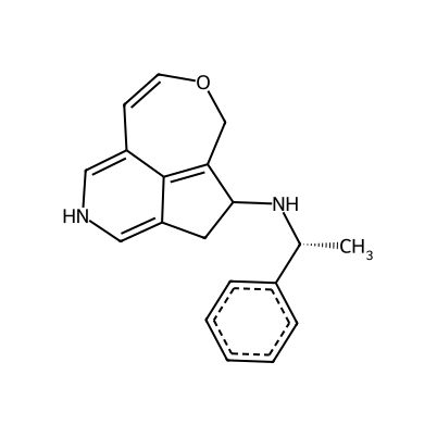 C[C@@H](NC1CC2=CNC=C3C=COCC1=C32)c1ccccc1